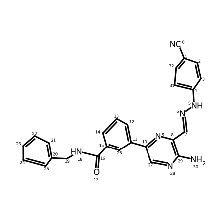 N#Cc1ccc(NN=Cc2nc(-c3cccc(C(=O)NCc4ccccc4)c3)cnc2N)cc1